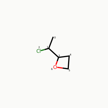 CC(Cl)C1CCO1